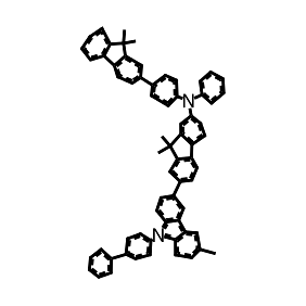 Cc1ccc2c(c1)c1cc(-c3ccc4c(c3)C(C)(C)c3cc(N(c5ccccc5)c5ccc(-c6ccc7c(c6)C(C)(C)c6ccccc6-7)cc5)ccc3-4)ccc1n2-c1ccc(-c2ccccc2)cc1